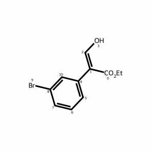 CCOC(=O)C(=CO)c1cccc(Br)c1